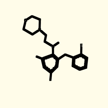 Cc1cc(C)c(N(C)CCN2CCOCC2)c(Cc2ccccc2F)c1